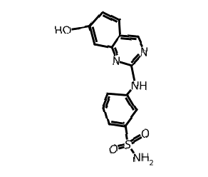 NS(=O)(=O)c1cccc(Nc2ncc3ccc(O)cc3n2)c1